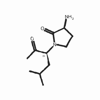 CC(=O)[C@H](CC(C)C)N1CCC(N)C1=O